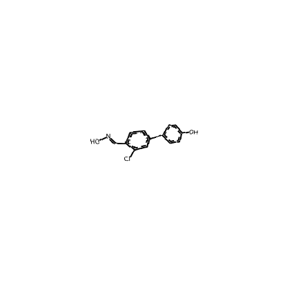 ON=Cc1ccc(-c2ccc(O)cc2)cc1Cl